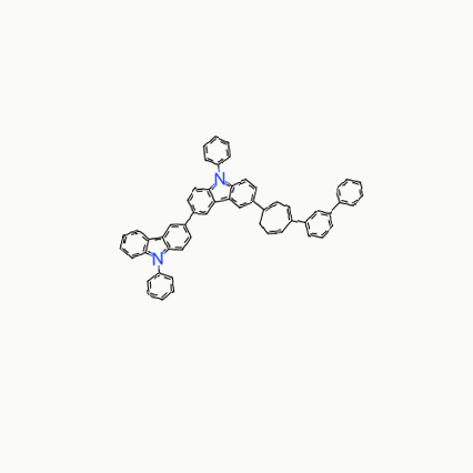 C1=CC(c2cccc(-c3ccccc3)c2)=CC=C(c2ccc3c(c2)c2cc(-c4ccc5c(c4)c4ccccc4n5-c4ccccc4)ccc2n3-c2ccccc2)C1